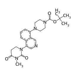 CN1C(=O)CCN(c2cncc3c(N4CCN(C(=O)OC(C)(C)C)CC4)cccc23)C1=O